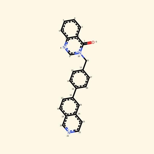 O=c1c2ccccc2ncn1Cc1ccc(-c2ccc3cnccc3c2)cc1